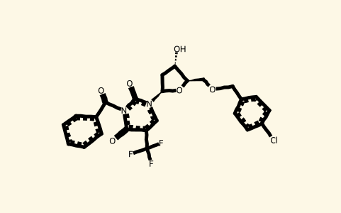 O=C(c1ccccc1)n1c(=O)c(C(F)(F)F)cn([C@H]2C[C@H](O)[C@@H](COCc3ccc(Cl)cc3)O2)c1=O